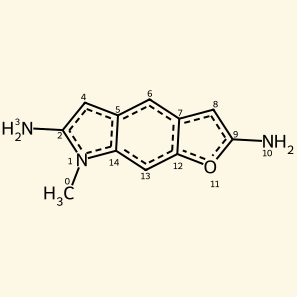 Cn1c(N)cc2cc3cc(N)oc3cc21